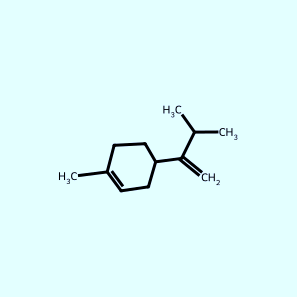 C=C(C(C)C)C1CC=C(C)CC1